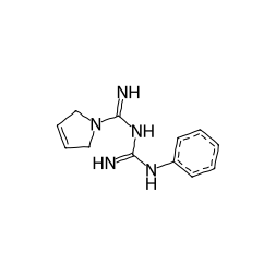 N=C(NC(=N)N1CC=CC1)Nc1ccccc1